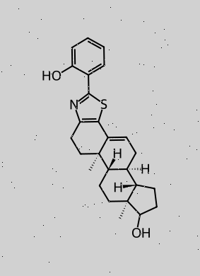 C[C@]12CCc3nc(-c4ccccc4O)sc3C1=CC[C@@H]1[C@@H]2CC[C@]2(C)C(O)CC[C@@H]12